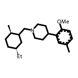 CC[C@@H]1CC[C@@H](C)C(CN2CCC(c3cc(C)ccc3OC)CC2)C1